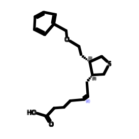 O=C(O)CCC/C=C\C[C@H]1CSC[C@H]1CCOCc1ccccc1